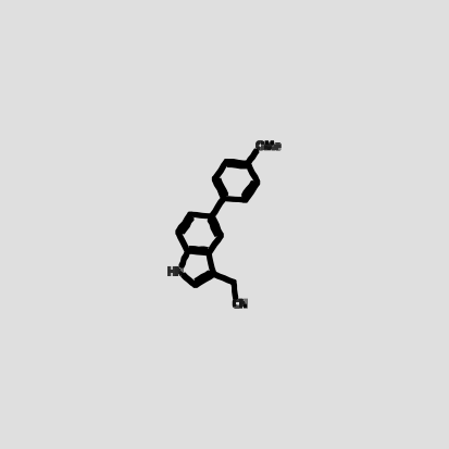 COc1ccc(-c2ccc3[nH]cc(CC#N)c3c2)cc1